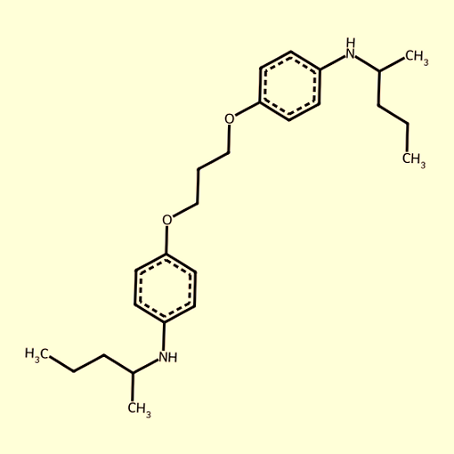 CCCC(C)Nc1ccc(OCCCOc2ccc(NC(C)CCC)cc2)cc1